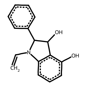 C=CN1c2cccc(O)c2C(O)C1c1ccccc1